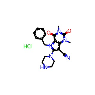 Cl.Cn1c(=O)c2c(c(C#N)c(N3CCNCC3)n2Cc2ccccc2)n(C)c1=O